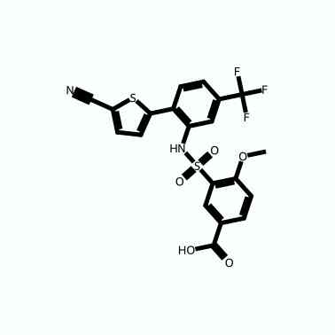 COc1ccc(C(=O)O)cc1S(=O)(=O)Nc1cc(C(F)(F)F)ccc1-c1ccc(C#N)s1